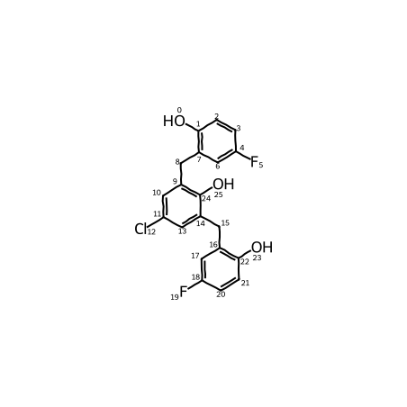 Oc1ccc(F)cc1Cc1cc(Cl)cc(Cc2cc(F)ccc2O)c1O